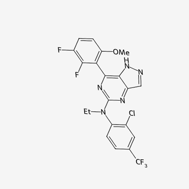 CCN(c1nc(-c2c(OC)ccc(F)c2F)c2[nH]ncc2n1)c1ccc(C(F)(F)F)cc1Cl